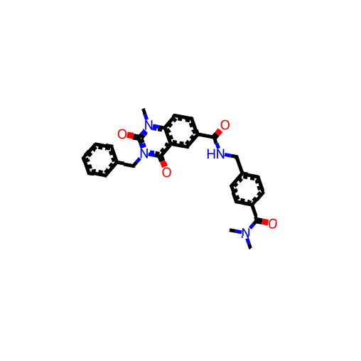 CN(C)C(=O)c1ccc(CNC(=O)c2ccc3c(c2)c(=O)n(Cc2ccccc2)c(=O)n3C)cc1